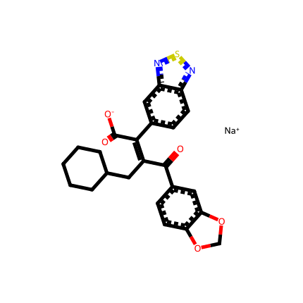 O=C([O-])C(=C(CC1CCCCC1)C(=O)c1ccc2c(c1)OCO2)c1ccc2nsnc2c1.[Na+]